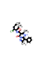 C#C/C=C(/Cl)c1nc(-c2c(C)[nH]c3c(-c4ccccc4)c(C(F)(F)F)nn3c2=O)oc1C